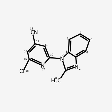 Cc1nc2ccccc2n1-c1cc(C#N)cc(Cl)n1